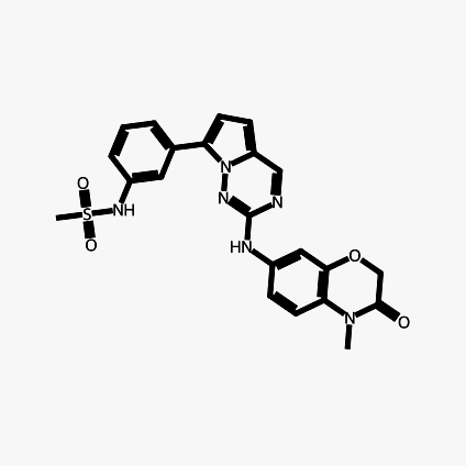 CN1C(=O)COc2cc(Nc3ncc4ccc(-c5cccc(NS(C)(=O)=O)c5)n4n3)ccc21